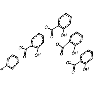 O=C([O-])c1ccccc1O.O=C([O-])c1ccccc1O.O=C([O-])c1ccccc1O.O=C([O-])c1ccccc1O.[Ti+4][c]1ccccc1